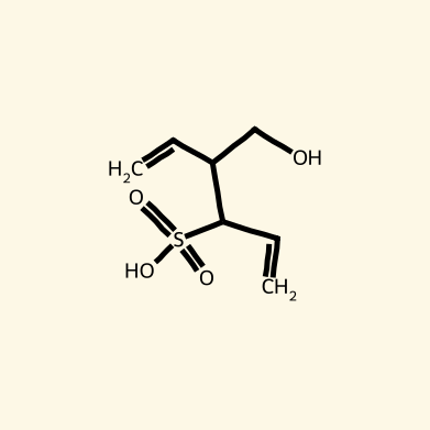 C=CC(CO)C(C=C)S(=O)(=O)O